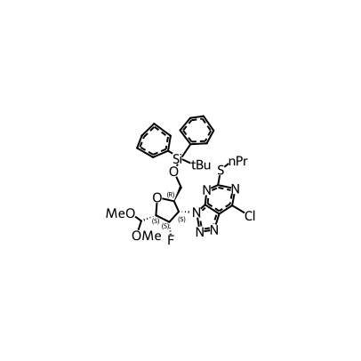 CCCSc1nc(Cl)c2nnn([C@@H]3[C@H](F)[C@H](C(OC)OC)O[C@H]3CO[Si](c3ccccc3)(c3ccccc3)C(C)(C)C)c2n1